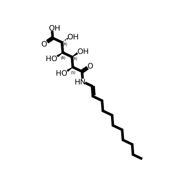 CCCCCCCCCC=CNC(=O)[C@@H](O)[C@H](O)[C@@H](O)[C@@H](O)C(=O)O